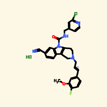 COc1cc(/C=C/CN2CCc3c(c4ccc(C#N)cc4n3C(=O)NCc3ccnc(Cl)c3)C2)ccc1F.Cl